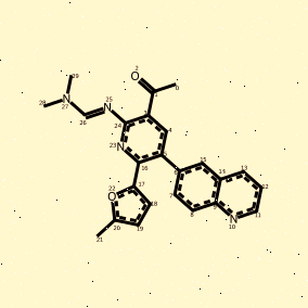 CC(=O)c1cc(-c2ccc3ncccc3c2)c(-c2ccc(C)o2)nc1N=CN(C)C